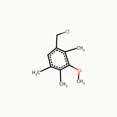 COc1c(C)c(C)cc(CCl)c1C